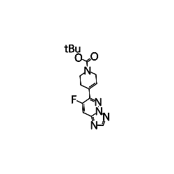 CC(C)(C)OC(=O)N1CC=C(c2nn3ncnc3cc2F)CC1